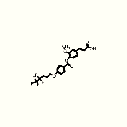 COc1cc(/C=C/C(=O)O)ccc1OC(=O)c1ccc(OCCCC(F)(F)C(F)(F)F)cc1